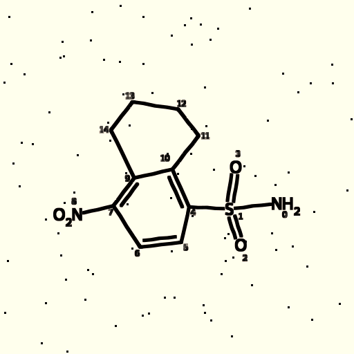 NS(=O)(=O)c1ccc([N+](=O)[O-])c2c1CCCC2